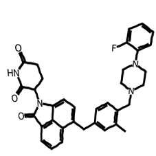 Cc1cc(Cc2ccc3c4c(cccc24)C(=O)N3C2CCC(=O)NC2=O)ccc1CN1CCN(c2ccccc2F)CC1